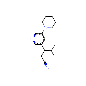 CC(C)C(CC#N)c1cncc(N2CCCCC2)c1